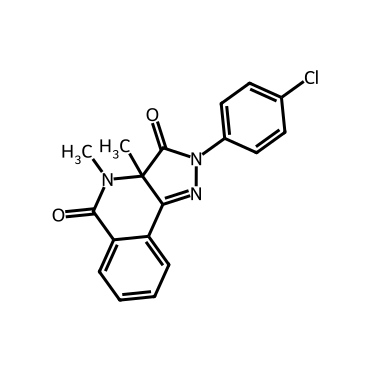 CN1C(=O)c2ccccc2C2=NN(c3ccc(Cl)cc3)C(=O)C21C